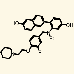 CCN(Cc1ccc(OCCN2CCCCC2)c(F)c1)c1cc(O)ccc1-c1ccc2cc(O)ccc2c1